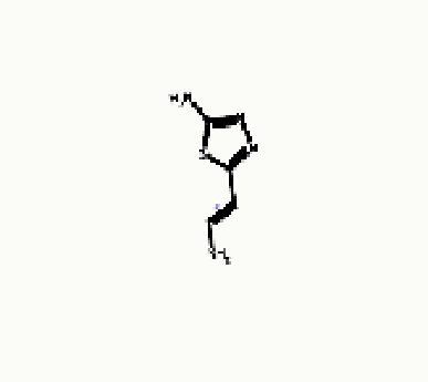 N/C=C/c1nnc(N)s1